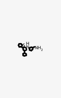 NCc1cccc(NC2CC(c3ccccc3)=Cc3c2sc2ccccc32)c1